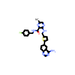 N#Cc1cnc(NCc2ccc(-c3ccc4ncnc(N)c4c3)s2)c(C(=O)NCc2ccc(F)cc2)n1